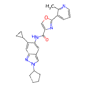 Cc1ncccc1-c1nc(C(=O)Nc2cc3cn(C4CCCC4)nc3cc2C2CC2)co1